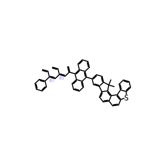 C=CC(=C\C(=C)c1c2ccccc2c(-c2ccc3c(c2)-c2ccc4ccc5sc6ccccc6c5c4c2C3(C)C)c2ccccc12)/C=C(\C=C)c1ccccc1